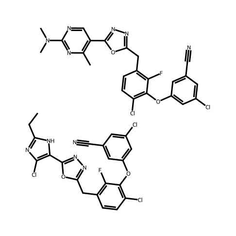 CCc1nc(Cl)c(-c2nnc(Cc3ccc(Cl)c(Oc4cc(Cl)cc(C#N)c4)c3F)o2)[nH]1.Cc1nc(N(C)C)ncc1-c1nnc(Cc2ccc(Cl)c(Oc3cc(Cl)cc(C#N)c3)c2F)o1